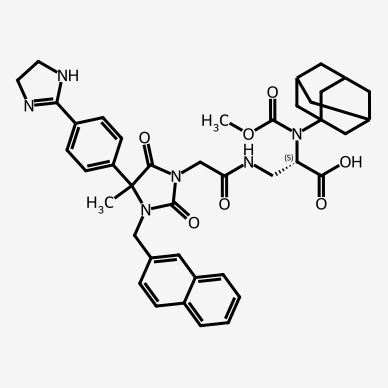 COC(=O)N([C@@H](CNC(=O)CN1C(=O)N(Cc2ccc3ccccc3c2)C(C)(c2ccc(C3=NCCN3)cc2)C1=O)C(=O)O)C12CC3CC(CC(C3)C1)C2